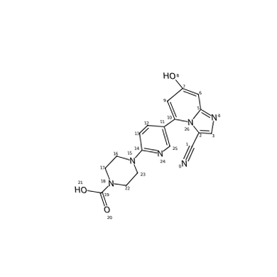 N#Cc1cnc2cc(O)cc(-c3ccc(N4CCN(C(=O)O)CC4)nc3)n12